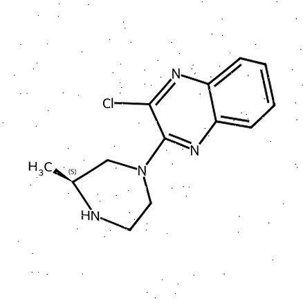 C[C@H]1CN(c2nc3ccccc3nc2Cl)CCN1